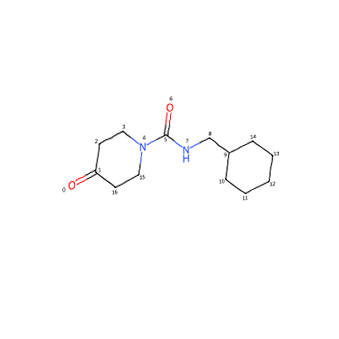 O=C1CCN(C(=O)NCC2CCCCC2)CC1